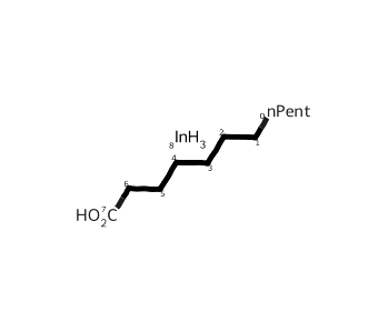 CCCCCCCCCCCC(=O)O.[InH3]